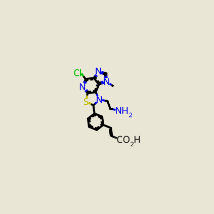 Cn1cnc2c(Cl)nc3c(c21)N(CCN)C(c1cccc(C=CC(=O)O)c1)S3